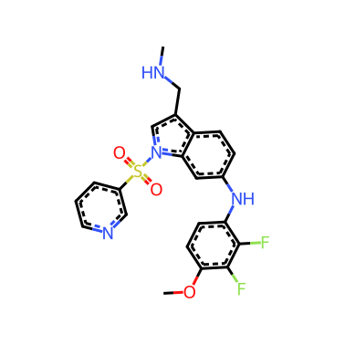 CNCc1cn(S(=O)(=O)c2cccnc2)c2cc(Nc3ccc(OC)c(F)c3F)ccc12